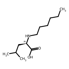 CCCCCCN[C@H](CC(C)C)C(=O)O